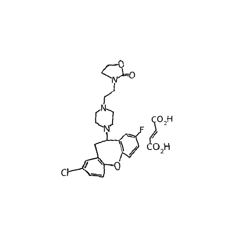 O=C(O)C=CC(=O)O.O=C1OCCN1CCN1CCN(C2Cc3cc(Cl)ccc3Oc3ccc(F)cc32)CC1